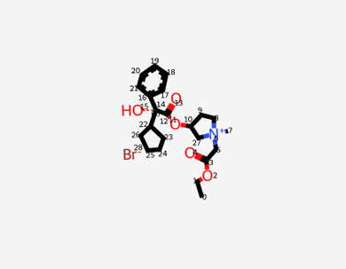 CCOC(=O)C[N+]1(C)CCC(OC(=O)[C@](O)(c2ccccc2)C2CCCC2)C1.[Br-]